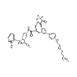 CCCCOCCOc1ccc(-c2ccc3c(c2)C=C(C(=O)Nc2ccc(C(O)c4cccc[n+]4[O-])c(OC)c2)CCN3C(=O)C(F)(F)F)cc1